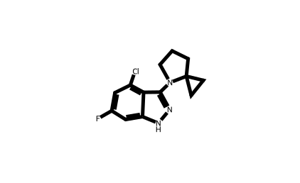 Fc1cc(Cl)c2c(N3CCCC34CC4)n[nH]c2c1